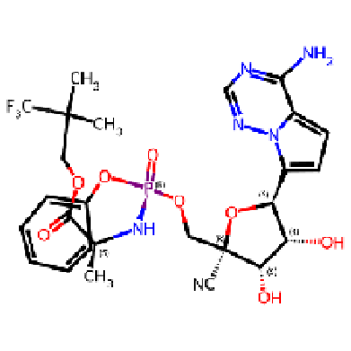 C[C@H](N[P@@](=O)(OC[C@@]1(C#N)O[C@@H](c2ccc3c(N)ncnn23)[C@H](O)[C@@H]1O)Oc1ccccc1)C(=O)OCC(C)(C)C(F)(F)F